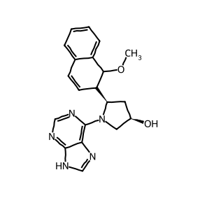 COC1c2ccccc2C=CC1[C@H]1C[C@@H](O)CN1c1ncnc2[nH]cnc12